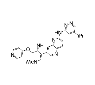 CN/C=C(\C(=N)COc1ccncc1)c1cnc2ccc(Nc3cc(C(C)C)cnn3)nc2c1